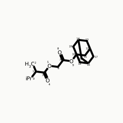 CC(C)C(C)C(=O)OCC(=O)OC12CC3CC(CC(C3)C1)C2